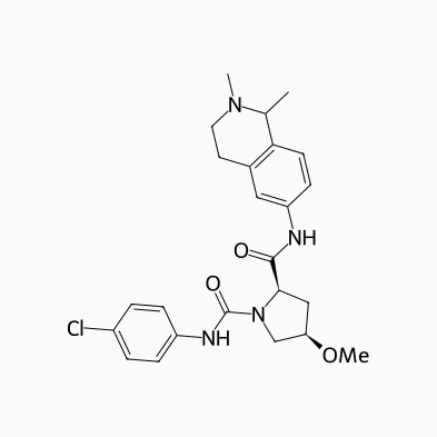 CO[C@@H]1C[C@H](C(=O)Nc2ccc3c(c2)CCN(C)C3C)N(C(=O)Nc2ccc(Cl)cc2)C1